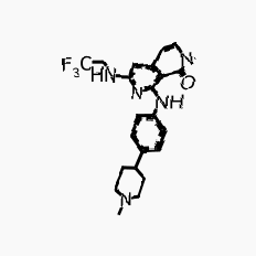 CN1CCC(c2ccc(Nc3nc(NCC(F)(F)F)cc4c3C(=O)[N]C=C4)cc2)CC1